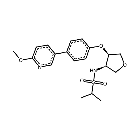 COc1ccc(-c2ccc(O[C@H]3COC[C@H]3NS(=O)(=O)C(C)C)cc2)cn1